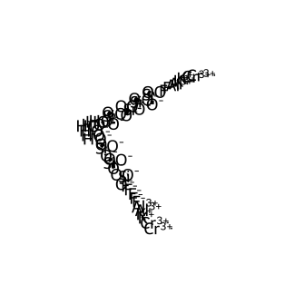 O=[Si]([O-])[O-].O=[Si]([O-])[O-].O=[Si]([O-])[O-].O=[Si]([O-])[O-].O=[Si]([O-])[O-].O=[Si]([O-])[O-].O=[Si]([O-])[O-].[Al+3].[Al+3].[Al+3].[Al+3].[Cr+3].[Cr+3].[Cr+3].[Cr+3].[F-].[F-].[F-].[F-].[F-].[F-].[F-].[K+].[K+].[K+].[K+].[OH-].[OH-].[OH-].[OH-].[OH-].[OH-].[OH-]